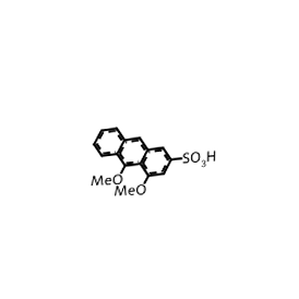 COc1cc(S(=O)(=O)O)cc2cc3ccccc3c(OC)c12